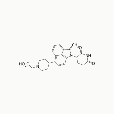 C=c1c2cccc3c(C4CCN(CC(=O)O)CC4)ccc(c32)n1C1CCC(=O)NC1=O